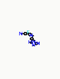 C=NC1=C(NCc2cc(C(=C)N3CCC(F)(c4ccc(C#N)cc4)CC3)ccc2C2CCC2)CN(C)CC1